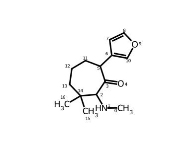 CNC1C(=O)C(c2ccoc2)CCCC1(C)C